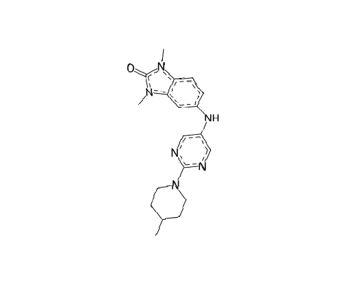 CC1CCN(c2ncc(Nc3ccc4c(c3)n(C)c(=O)n4C)cn2)CC1